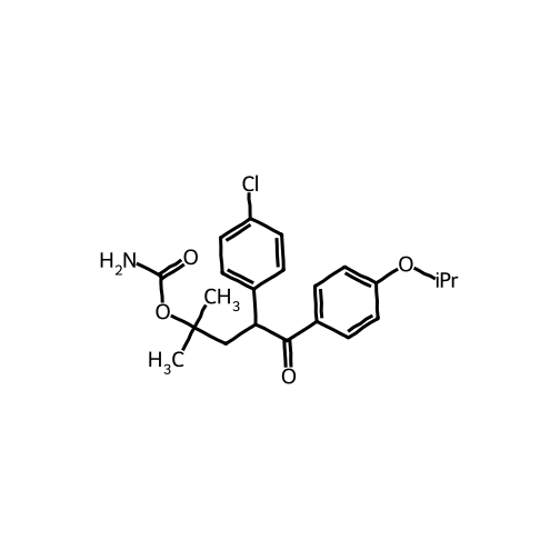 CC(C)Oc1ccc(C(=O)C(CC(C)(C)OC(N)=O)c2ccc(Cl)cc2)cc1